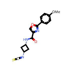 COc1ccc(-c2nc(C(=O)N[C@H]3C[C@@H](N=C=S)C3)co2)cc1